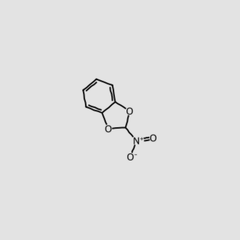 O=[N+]([O-])C1Oc2ccccc2O1